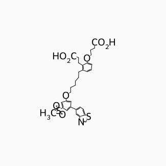 CS(=O)(=O)c1cc(OCCCCCCc2cccc(OCCCC(=O)O)c2CCC(=O)O)cc(-c2ccc3scnc3c2)c1